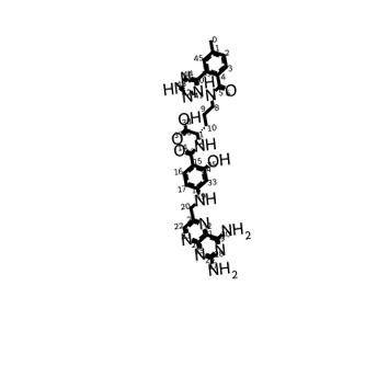 Cc1ccc(C(=O)NCCC[C@H](NC(=O)c2ccc(NCc3cnc4nc(N)nc(N)c4n3)cc2O)C(=O)O)c(-c2nn[nH]n2)c1